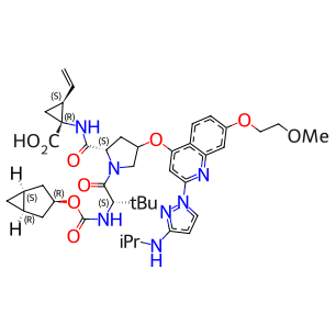 C=C[C@@H]1C[C@]1(NC(=O)[C@@H]1CC(Oc2cc(-n3ccc(NC(C)C)n3)nc3cc(OCCOC)ccc23)CN1C(=O)[C@@H](NC(=O)O[C@@H]1C[C@@H]2C[C@@H]2C1)C(C)(C)C)C(=O)O